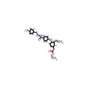 CCOC(=O)Cc1ccc(Oc2ccc(C(=O)NCCc3ccc(Cl)cc3)cc2)c(CC)c1